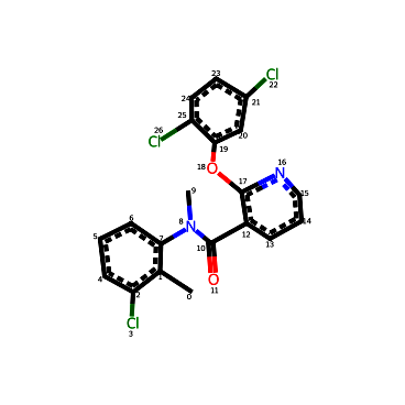 Cc1c(Cl)cccc1N(C)C(=O)c1cccnc1Oc1cc(Cl)ccc1Cl